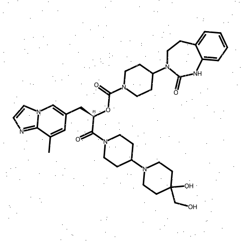 Cc1cc(C[C@@H](OC(=O)N2CCC(N3CCc4ccccc4NC3=O)CC2)C(=O)N2CCC(N3CCC(O)(CO)CC3)CC2)cn2ccnc12